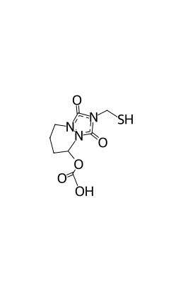 O=C(O)OC1CCCn2c(=O)n(CS)c(=O)n21